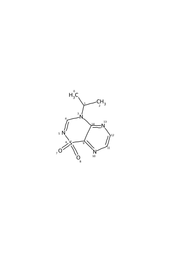 CC(C)N1C=NS(=O)(=O)c2nccnc21